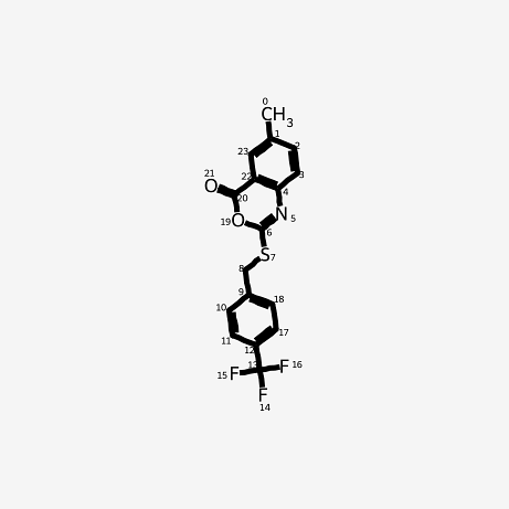 Cc1ccc2nc(SCc3ccc(C(F)(F)F)cc3)oc(=O)c2c1